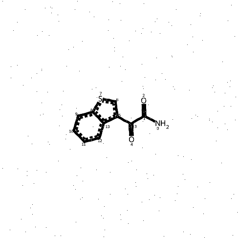 NC(=O)C(=O)c1csc2ccccc12